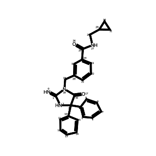 N=C1NC(c2ccccc2)(c2ccccc2)C(=O)N1Cc1cccc(C(=O)NCC2CC2)c1